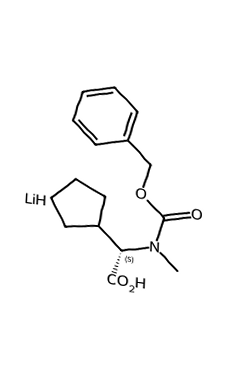 CN(C(=O)OCc1ccccc1)[C@H](C(=O)O)C1CCCC1.[LiH]